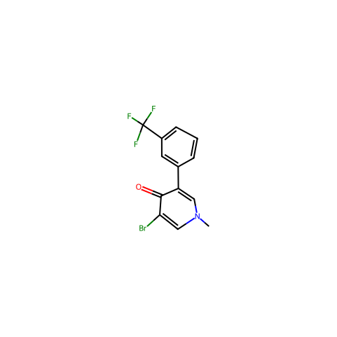 Cn1cc(Br)c(=O)c(-c2cccc(C(F)(F)F)c2)c1